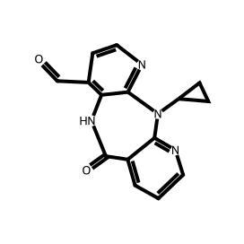 O=Cc1ccnc2c1NC(=O)c1cccnc1N2C1CC1